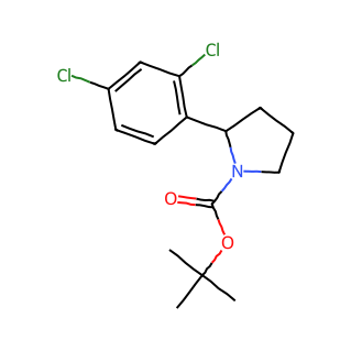 CC(C)(C)OC(=O)N1CCCC1c1ccc(Cl)cc1Cl